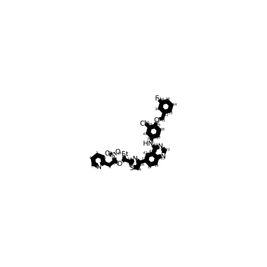 CCC(OC(Cc1ccccn1)=S(=O)=O)c1nc(-c2ccc3ncnc(Nc4ccc(OCc5cccc(F)c5)c(Cl)c4)c3c2)cs1